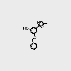 Cc1cnc(-c2cc(O)cc(OCc3ccccc3)c2)o1